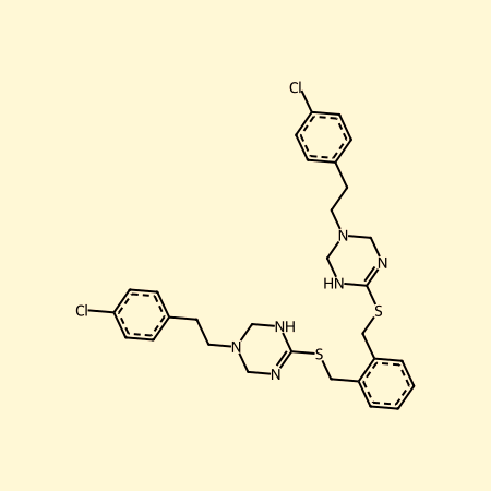 Clc1ccc(CCN2CN=C(SCc3ccccc3CSC3=NCN(CCc4ccc(Cl)cc4)CN3)NC2)cc1